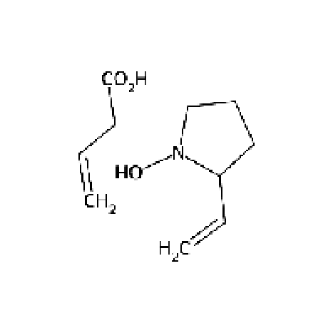 C=CC1CCCN1O.C=CCC(=O)O